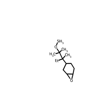 CCC(C)(C1CCC2OC2C1)C(C)(C)O[SiH3]